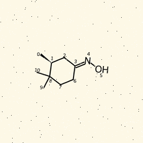 C[C@H]1CC(=NO)CCC1(C)C